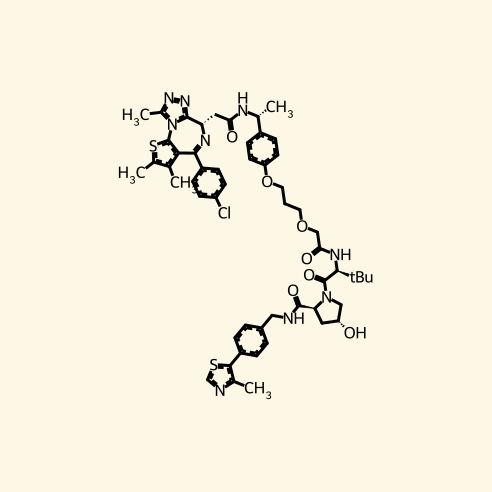 Cc1ncsc1-c1ccc(CNC(=O)[C@@H]2C[C@@H](O)CN2C(=O)[C@@H](NC(=O)COCCCOc2ccc([C@@H](C)NC(=O)C[C@@H]3N=C(c4ccc(Cl)cc4)c4c(sc(C)c4C)-n4c(C)nnc43)cc2)C(C)(C)C)cc1